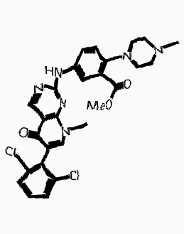 COC(=O)c1cc(Nc2ncc3c(=O)c(-c4c(Cl)cccc4Cl)cn(C)c3n2)ccc1N1CCN(C)CC1